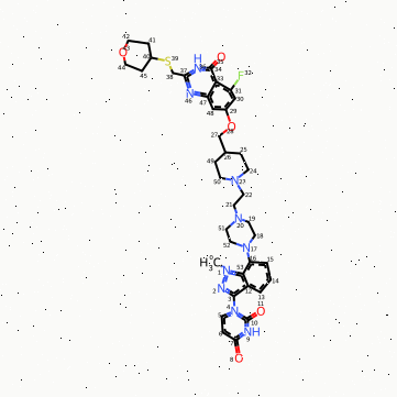 Cn1nc(-n2ccc(=O)[nH]c2=O)c2cccc(N3CCN(CCN4CCC(COc5cc(F)c6c(=O)[nH]c(CSC7CCOCC7)nc6c5)CC4)CC3)c21